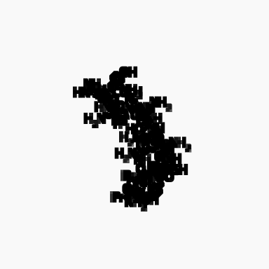 CC[C@H](C)[C@H](NC(=O)[C@@H](NC(=O)[C@@H]1C[C@@H](O)CN1C(=O)[C@@H](N)C(C)C)[C@@H](C)CC)C(=O)N[C@@H](Cc1ccc(O)cc1)C(=O)N[C@H](C(=O)N[C@@H](CC(N)=O)C(=O)N[C@@H](CCCNC(=N)N)C(=O)N[C@@H](CCN)C(=O)N[C@@H](CO)C(=O)N[C@H](CCN)C(=O)N[C@@H](CCCCN)C(=O)N[C@@H](CS)C(=O)N[C@@H](CCN)C(=O)N[C@@H](CCCNC(=N)N)C(=O)N[C@@H](Cc1ccc(O)cc1)C(=O)O)C(C)(C)S